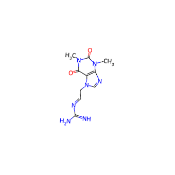 Cn1c(=O)c2c(ncn2CC=NC(=N)N)n(C)c1=O